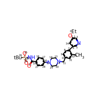 CCOc1cncc(-c2ccc(CN3CCN(c4ccc(C(=O)NS(=O)(=O)C(C)(C)C)cc4)CC3)cc2C)c1